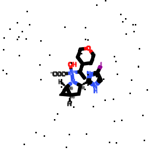 CC(C1CCOCC1)[N+](O)(C(=O)[O-])N1[C@@H]2C[C@@H]2C[C@H]1c1nc(I)c[nH]1